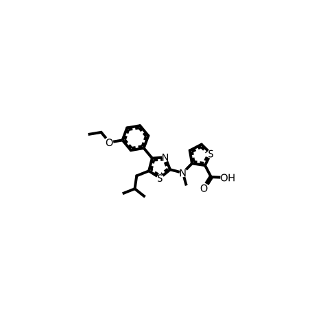 CCOc1cccc(-c2nc(N(C)c3ccsc3C(=O)O)sc2CC(C)C)c1